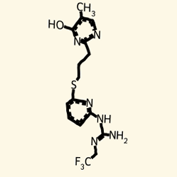 Cc1cnc(CCCSc2cccc(NC(N)=NCC(F)(F)F)n2)nc1O